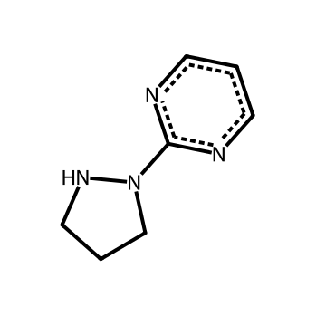 c1cnc(N2CCCN2)nc1